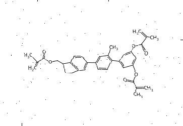 C=C(C)C(=O)OCC1CCc2cc(-c3ccc(-c4cc(OC(=O)C(=C)C)cc(OC(=O)C(=C)C)c4)c(C)c3)ccc21